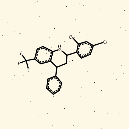 FC(F)(F)c1ccc2c(c1)C(c1ccccc1)CC(c1ccc(Cl)cc1Cl)N2